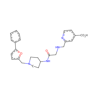 O=C(CNCc1cc(C(=O)O)ccn1)NC1CCN(Cc2ccc(-c3ccccc3)o2)CC1